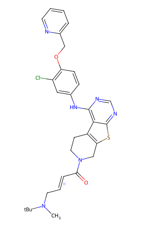 CN(C/C=C/C(=O)N1CCc2c(sc3ncnc(Nc4ccc(OCc5ccccn5)c(Cl)c4)c23)C1)C(C)(C)C